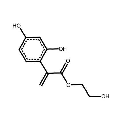 C=C(C(=O)OCCO)c1ccc(O)cc1O